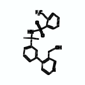 CC(C)(NS(=O)(=O)c1ccccc1C(F)(F)F)c1cccc(-c2ccncc2CO)c1